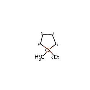 CCS1(C)CCCC1